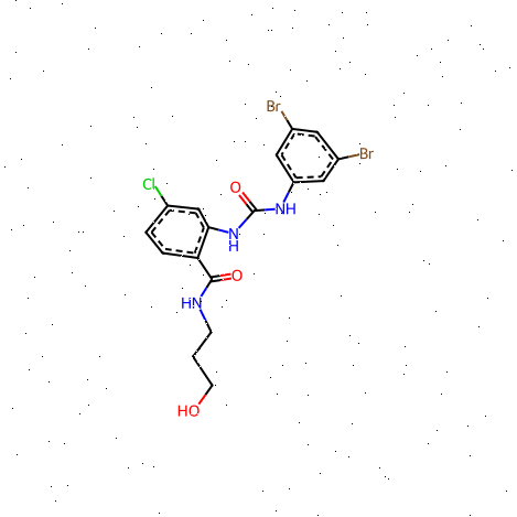 O=C(Nc1cc(Br)cc(Br)c1)Nc1cc(Cl)ccc1C(=O)NCCCO